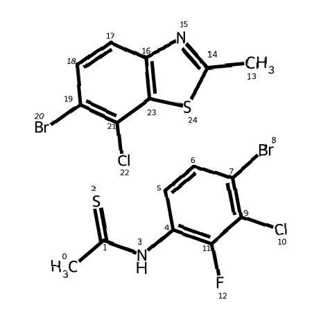 CC(=S)Nc1ccc(Br)c(Cl)c1F.Cc1nc2ccc(Br)c(Cl)c2s1